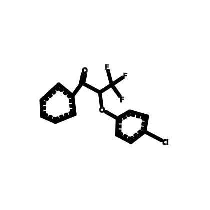 O=C(c1ccccc1)C(Oc1ccc(Cl)cc1)C(F)(F)F